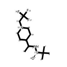 CC(N[S@@+]([O-])C(C)(C)C)C1CCN(CC(F)(F)F)CC1